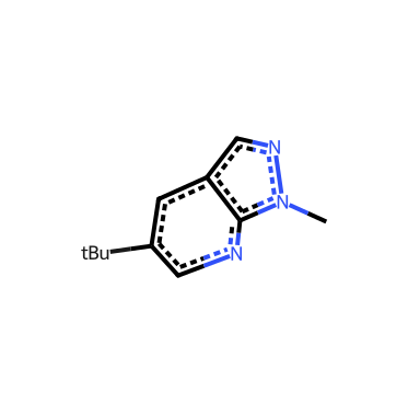 Cn1ncc2cc(C(C)(C)C)cnc21